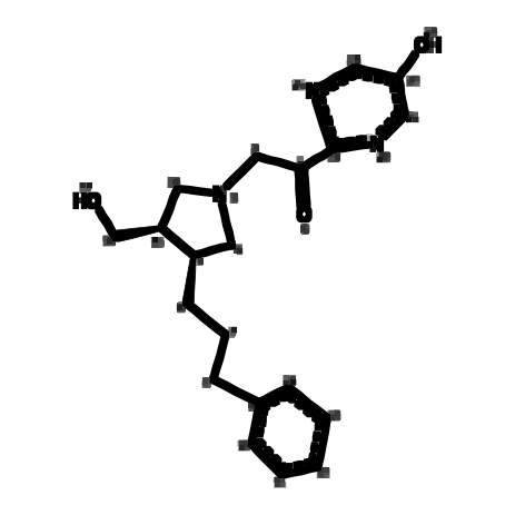 O=C(CN1C[C@@H](CCCc2ccccc2)[C@@H](CO)C1)c1ncc(O)cn1